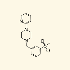 CS(=O)(=O)c1cccc(CN2CCN(c3ccccn3)CC2)c1